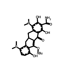 CCCCOC1=C2C(=O)c3c(O)c(C(N)=O)c(O)c(N(C)C)c3CC2Cc2c(N(C)C)ccc(O)c21